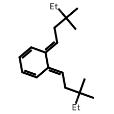 CCC(C)(C)CC=c1ccccc1=CCC(C)(C)CC